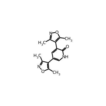 Cc1noc(C)c1-c1c[nH]c(=O)c(-c2c(C)noc2C)c1